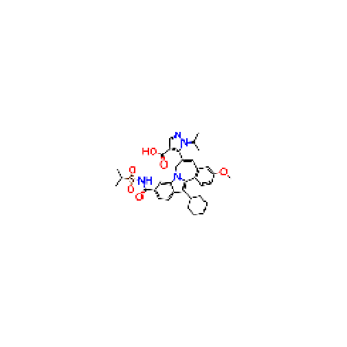 COc1ccc2c(c1)C=C(c1c(C(=O)O)cnn1C(C)C)Cn1c-2c(C2CCCCC2)c2ccc(C(=O)NS(=O)(=O)C(C)C)cc21